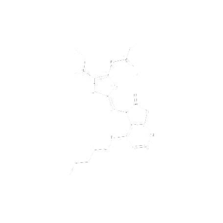 CCCCCNC1=C2C(NC=N1)NC(=O)C2C=C1CC(C(=O)OC)=C(NC(C)=O)N1